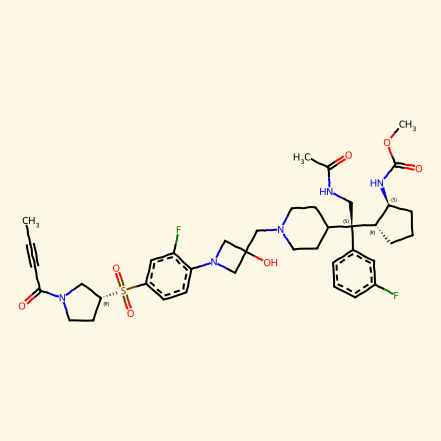 CC#CC(=O)N1CC[C@@H](S(=O)(=O)c2ccc(N3CC(O)(CN4CCC([C@@](CNC(C)=O)(c5cccc(F)c5)[C@H]5CCC[C@@H]5NC(=O)OC)CC4)C3)c(F)c2)C1